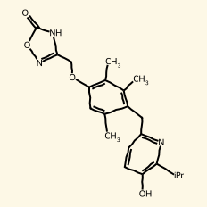 Cc1cc(OCc2noc(=O)[nH]2)c(C)c(C)c1Cc1ccc(O)c(C(C)C)n1